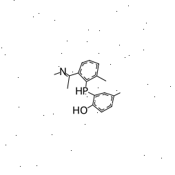 C/N=C(\C)c1cccc(C)c1Pc1cc(C)ccc1O